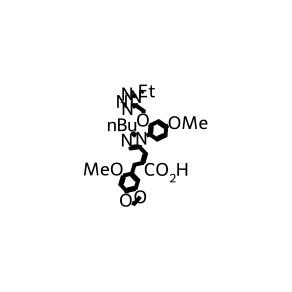 CCCCc1ncc(/C=C(\Cc2cc3c(cc2OC)OCO3)C(=O)O)n1-c1ccc(OC)cc1OCc1nnnn1CC